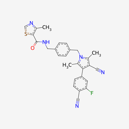 Cc1ncsc1C(=O)NCc1ccc(Cn2c(C)c(C#N)c(-c3ccc(C#N)c(F)c3)c2C)cc1